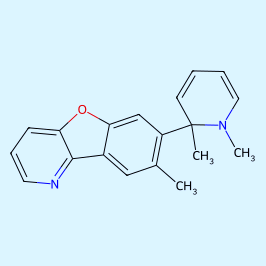 Cc1cc2c(cc1C1(C)C=CC=CN1C)oc1cccnc12